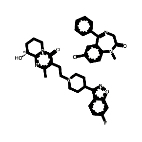 CN1C(=O)CN=C(c2ccccc2)c2cc(Cl)ccc21.Cc1nc2n(c(=O)c1CCN1CCC(c3noc4cc(F)ccc34)CC1)CCC[C@H]2O